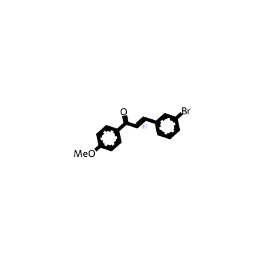 COc1ccc(C(=O)/C=C/c2cccc(Br)c2)cc1